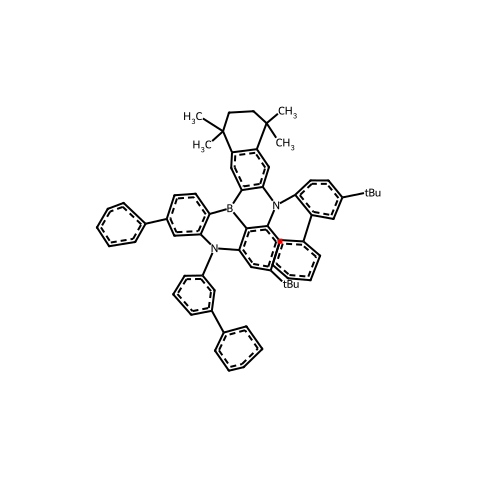 CC(C)(C)c1ccc(N2c3cc4c(cc3B3c5ccc(-c6ccccc6)cc5N(c5cccc(-c6ccccc6)c5)c5cc(C(C)(C)C)cc2c53)C(C)(C)CCC4(C)C)c(-c2ccccc2)c1